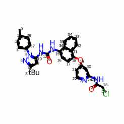 Cc1ccc(-n2nc(C(C)(C)C)cc2NC(=O)Nc2ccc(Oc3ccnc(NC(=O)CCl)c3)c3ccccc23)cc1